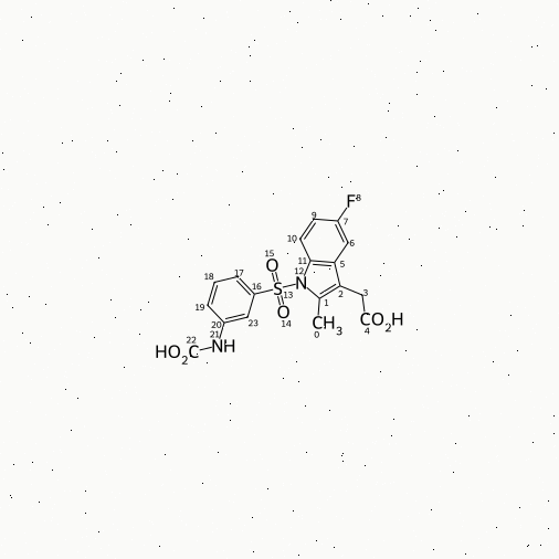 Cc1c(CC(=O)O)c2cc(F)ccc2n1S(=O)(=O)c1cccc(NC(=O)O)c1